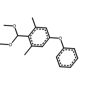 COC(OC)c1c(C)cc(Oc2ccccc2)cc1C